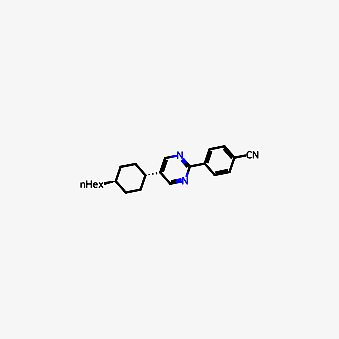 CCCCCC[C@H]1CC[C@H](c2cnc(-c3ccc(C#N)cc3)nc2)CC1